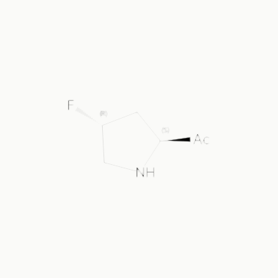 CC(=O)[C@@H]1C[C@@H](F)CN1